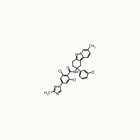 Cc1ccc2c3c(nn2c1)CCC(NC(=O)c1c(Cl)cc(-n2cnc(C)n2)cc1Cl)(c1cccc(Cl)c1)C3